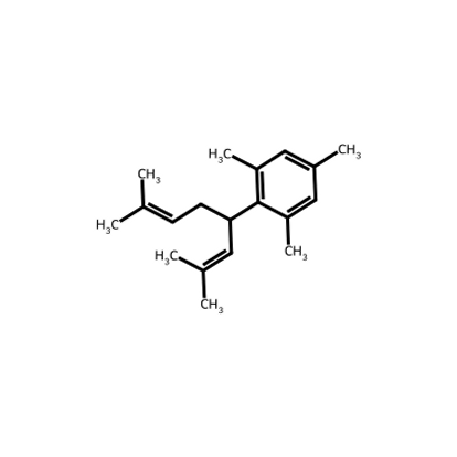 CC(C)=CCC(C=C(C)C)c1c(C)cc(C)cc1C